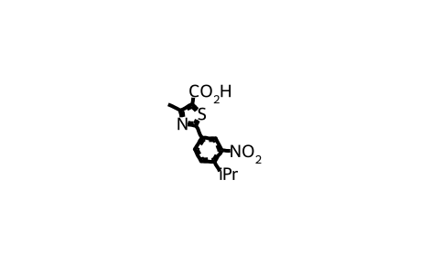 Cc1nc(-c2ccc(C(C)C)c([N+](=O)[O-])c2)sc1C(=O)O